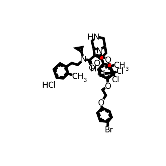 Cc1ccccc1CCN(C(=O)C1=C(c2ccc(OCCOc3ccc(Br)cc3)cc2)CC2CNCC1N2C(=O)OC(C)(C)C(Cl)(Cl)Cl)C1CC1.Cl